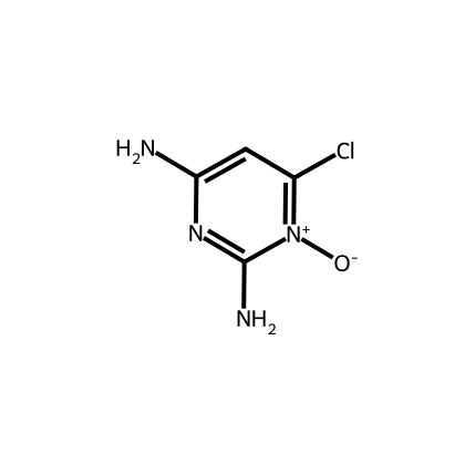 Nc1cc(Cl)[n+]([O-])c(N)n1